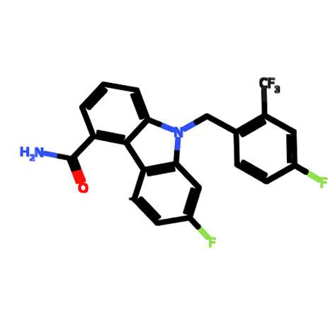 NC(=O)c1cccc2c1c1[c]cc(F)cc1n2Cc1ccc(F)cc1C(F)(F)F